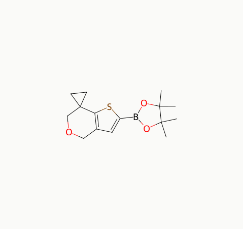 CC1(C)OB(c2cc3c(s2)C2(CC2)COC3)OC1(C)C